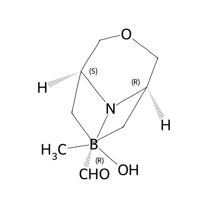 CB(O)N1[C@@H]2COC[C@H]1C[C@H](C=O)C2